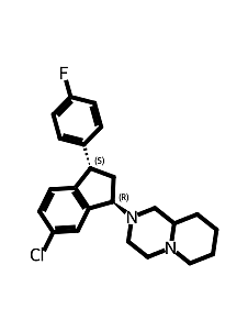 Fc1ccc([C@@H]2C[C@@H](N3CCN4CCCCC4C3)c3cc(Cl)ccc32)cc1